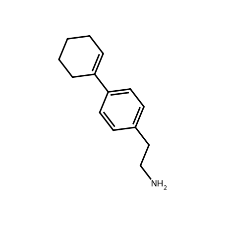 NCCc1ccc(C2=CCCCC2)cc1